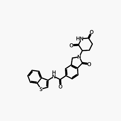 O=C1CCC(N2Cc3cc(C(=O)Nc4csc5ccccc45)ccc3C2=O)C(=O)N1